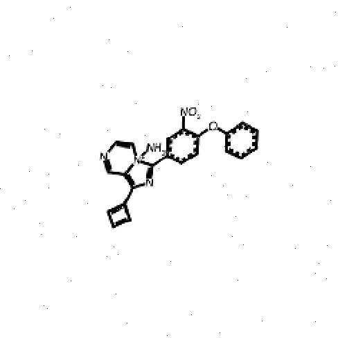 N[N+]12C=CN=CC1=C(C1=CC=C1)N=C2c1ccc(Oc2ccccc2)c([N+](=O)[O-])c1